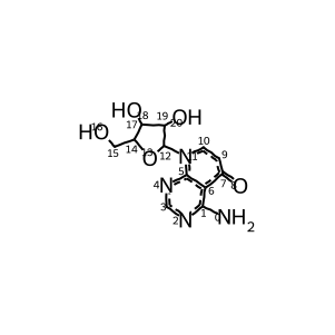 Nc1ncnc2c1c(=O)ccn2C1OC(CO)C(O)C1O